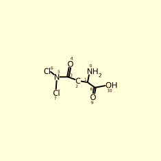 NC(CC(=O)N(Cl)Cl)C(=O)O